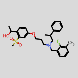 CC(O)c1ccc(OCCCN(Cc2cccc(C(F)(F)F)c2F)CC(C)c2ccccc2)cc1S(C)(=O)=O